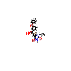 CC(C)Cn1c(=O)n(C)c(=O)c2cc(C(O)c3cccc(Oc4ccccc4)c3)sc21